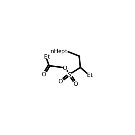 CCCCCCCCC(CC)S(=O)(=O)OC(=O)CC